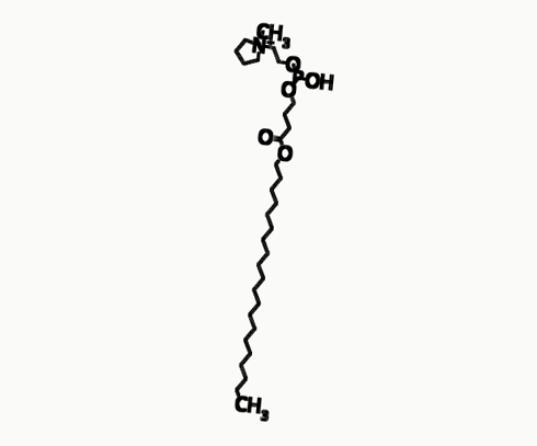 CCCCCCCCCCCCCCCCCCCCOC(=O)CCCOP(O)OCC[N+]1(C)CCCC1